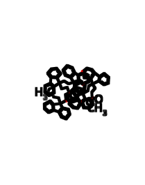 CCCC1(CCC2(CCC3(CCC4(CCC5(CCC6(CCC(=O)OC)c7ccccc7-c7ccccc76)c6ccccc6-c6ccccc65)c5ccccc5-c5ccccc54)c4ccccc4-c4ccccc43)c3ccccc3-c3ccccc32)c2ccccc2-c2ccccc21